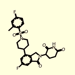 Cc1cc(F)ccc1S(=O)(=O)N1CCC(c2cc(F)cc3c2CN(C2CCC(=O)NC2=O)C3=O)CC1